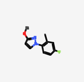 CCOc1ccn(-c2ccc(F)cc2C)n1